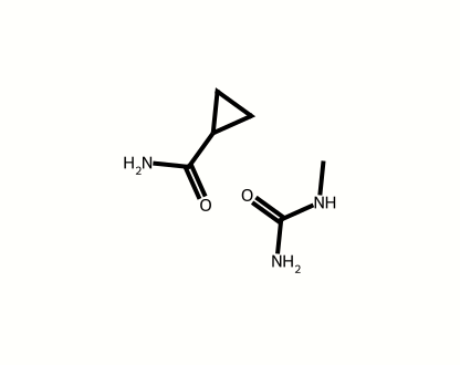 CNC(N)=O.NC(=O)C1CC1